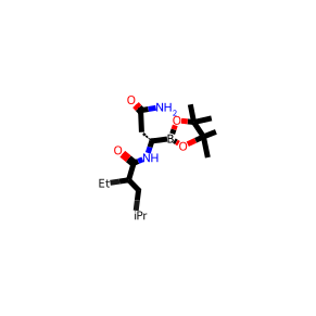 CCC(CC(C)C)C(=O)N[C@H](CC(N)=O)B1OC(C)(C)C(C)(C)O1